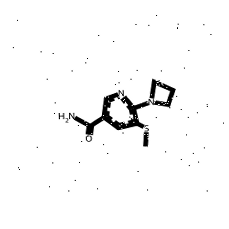 CSc1cc(C(N)=O)cnc1N1CCC1